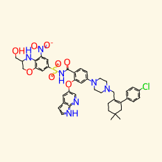 CC1(C)CCC(CN2CCN(c3ccc(C(=O)NS(=O)(=O)c4cc5c(c([N+](=O)[O-])c4)NC(CO)CO5)c(Oc4cnc5[nH]ccc5c4)c3)CC2)=C(c2ccc(Cl)cc2)C1